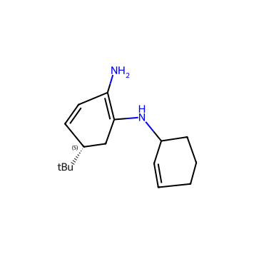 CC(C)(C)[C@@H]1C=CC(N)=C(NC2C=CCCC2)C1